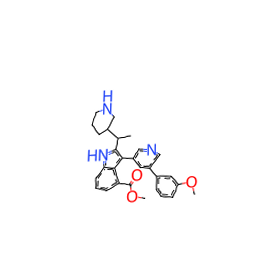 COC(=O)c1cccc2[nH]c(C(C)C3CCCNC3)c(-c3cncc(-c4cccc(OC)c4)c3)c12